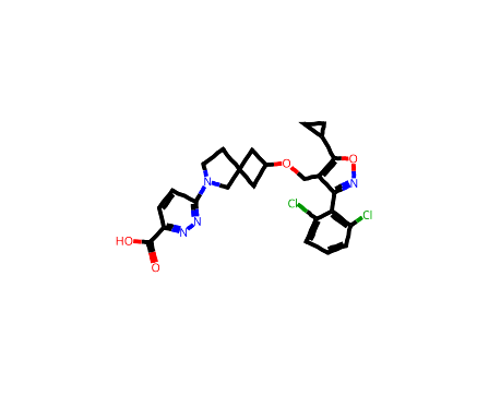 O=C(O)c1ccc(N2CCC3(CC(OCc4c(-c5c(Cl)cccc5Cl)noc4C4CC4)C3)C2)nn1